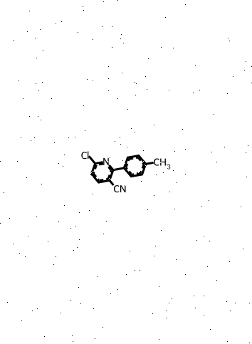 Cc1ccc(-c2nc(Cl)ccc2C#N)cc1